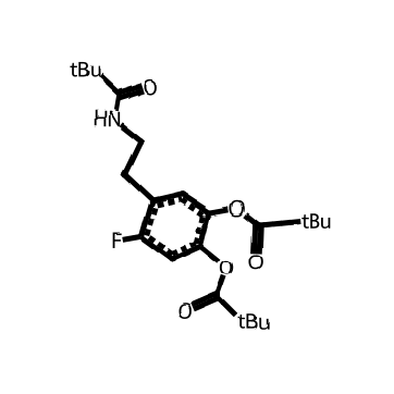 CC(C)(C)C(=O)NCCc1cc(OC(=O)C(C)(C)C)c(OC(=O)C(C)(C)C)cc1F